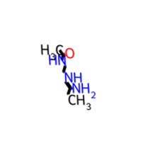 CC/C(N)=C/NCCNC(C)=O